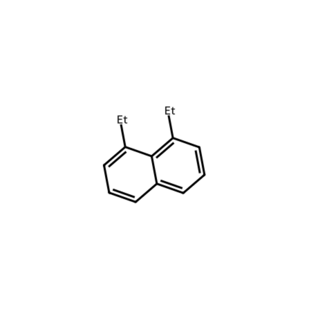 CCc1cccc2cccc(CC)c12